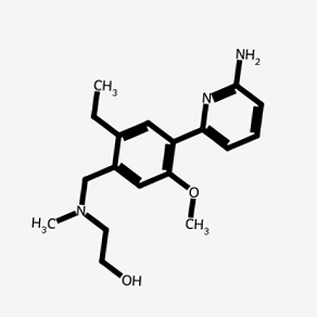 CCc1cc(-c2cccc(N)n2)c(OC)cc1CN(C)CCO